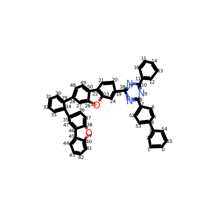 c1ccc(-c2ccc(-c3nc(-c4ccccc4)nc(-c4ccc5c(c4)oc4cc(-c6ccccc6-c6ccc7oc8ccccc8c7c6)ccc45)n3)cc2)cc1